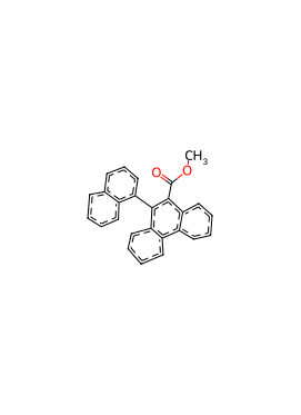 COC(=O)c1c(-c2cccc3ccccc23)c2ccccc2c2ccccc12